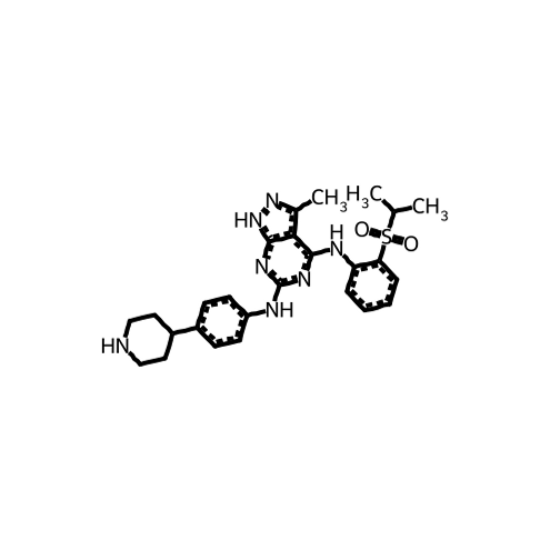 Cc1n[nH]c2nc(Nc3ccc(C4CCNCC4)cc3)nc(Nc3ccccc3S(=O)(=O)C(C)C)c12